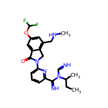 CCC(C)N(C=N)C(=N)c1cccc(N2Cc3c(CNC)cc(OC(F)F)cc3C2=O)n1